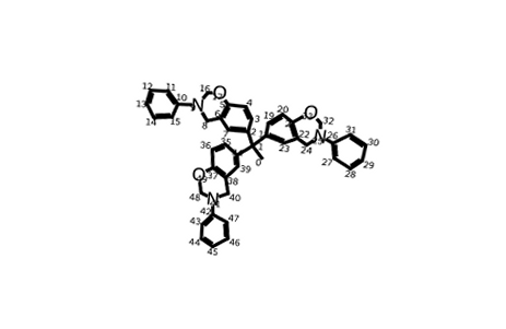 CC(c1ccc2c(c1)CN(c1ccccc1)CO2)(c1ccc2c(c1)CN(c1ccccc1)CO2)c1ccc2c(c1)CN(c1ccccc1)CO2